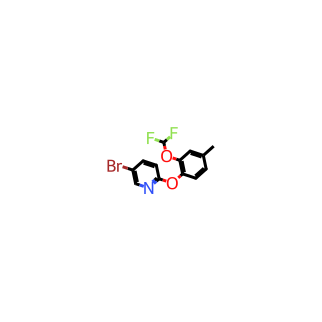 Cc1ccc(Oc2ccc(Br)cn2)c(OC(F)F)c1